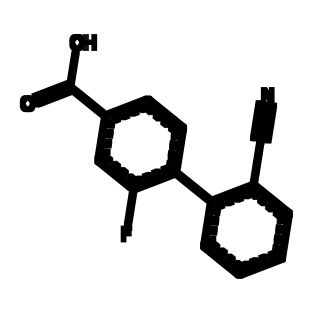 N#Cc1ccccc1-c1ccc(C(=O)O)cc1F